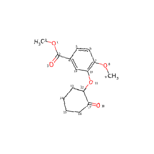 COC(=O)c1ccc(OC)c(OC2CCCCC2=O)c1